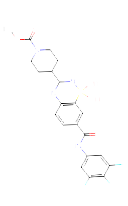 CC(C)(C)OC(=O)N1CCC(C2Nc3ccc(C(=O)Nc4cc(F)c(F)c(F)c4)cc3S(O)(O)N2)CC1